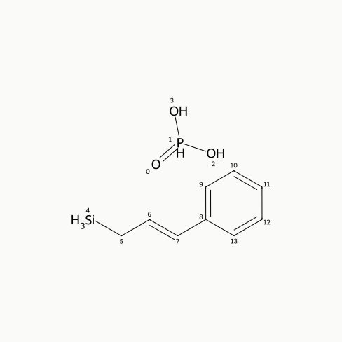 O=[PH](O)O.[SiH3]CC=Cc1ccccc1